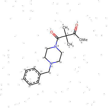 COC(=O)C(C)(C)C(=O)N1CCN(Cc2ccccc2)CC1